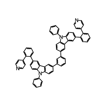 c1ccc(-n2c3ccc(-c4cccc(-c5ccc6c(c5)c5cc(-c7ccccc7-c7ccncc7)ccc5n6-c5ccccc5)c4)cc3c3cc(-c4ccccc4-c4ccncc4)ccc32)cc1